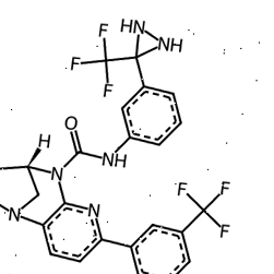 O=C(Nc1cccc(C2(C(F)(F)F)NN2)c1)N1c2nc(-c3cccc(C(F)(F)F)c3)ccc2N2CC[C@H]1C2